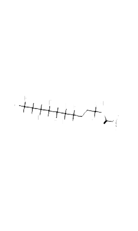 CN(C)C(=O)OC(C)(C)CCC(F)(F)C(F)(F)C(F)(F)C(F)(F)C(F)(F)C(F)(F)C(F)(F)C(F)(F)F